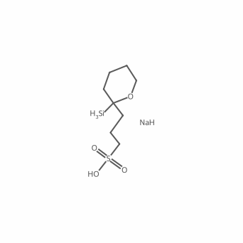 O=S(=O)(O)CCCC1([SiH3])CCCCO1.[NaH]